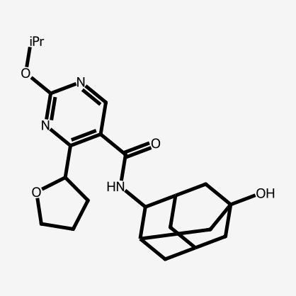 CC(C)Oc1ncc(C(=O)NC2C3CC4CC2CC(O)(C4)C3)c(C2CCCO2)n1